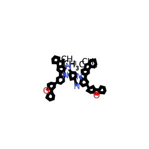 CC1(C)c2ccccc2-c2cc3c4c(n(-c5cc(C#N)c(-n6c7ccc(-c8ccc9oc%10ccccc%10c9c8)cc7c7cc8c(cc76)C(C)(C)c6ccccc6-8)cc5C#N)c3cc21)CCC(c1ccc2oc3ccccc3c2c1)=C4